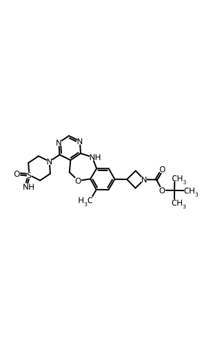 Cc1cc(C2CN(C(=O)OC(C)(C)C)C2)cc2c1OCc1c(ncnc1N1CCS(=N)(=O)CC1)N2